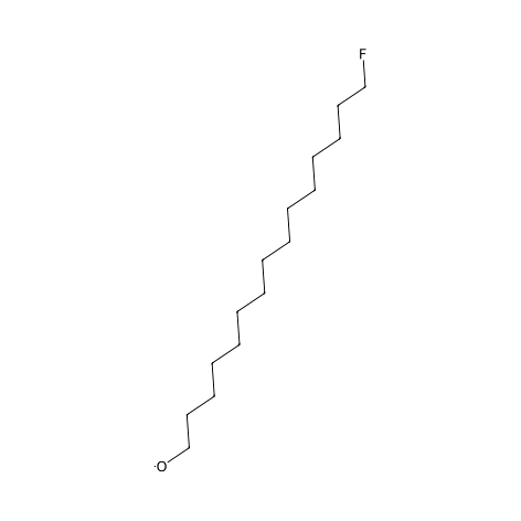 [O]CCCCCCCCCCCCCCCF